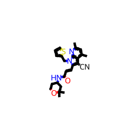 Cc1cc(C)c2c(C#N)c(C=CC(=O)NC3CCOC(C)(C)C3)n(Cc3cccs3)c2n1